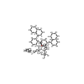 C[Si](C)(C)C1=Cc2c(-c3cccc4ccccc34)cccc2[CH]1[Ti]([CH3])([CH3])(=[SiH2])[CH]1C([Si](C)(C)C)=Cc2c(-c3cccc4ccccc34)cccc21.Cl.Cl